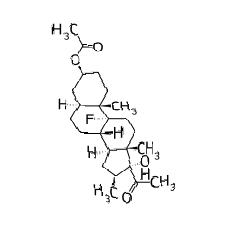 CC(=O)O[C@H]1CC[C@@]2(C)[C@@H](CC[C@H]3[C@@H]4C[C@H](C)[C@](O)(C(C)=O)[C@@]4(C)CC[C@@]32F)C1